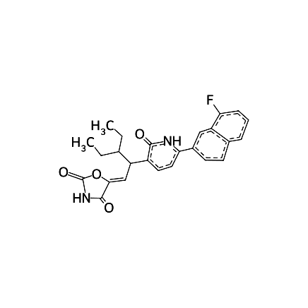 CCC(CC)C(C=C1OC(=O)NC1=O)c1ccc(-c2ccc3cccc(F)c3c2)[nH]c1=O